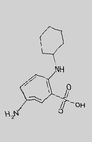 Nc1ccc(NC2CCCCC2)c(S(=O)(=O)O)c1